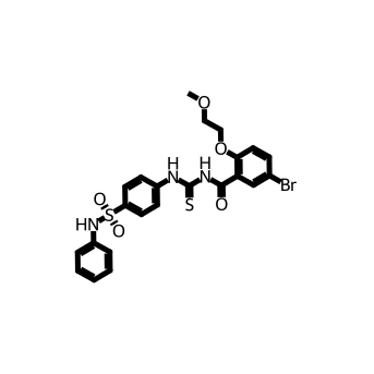 COCCOc1ccc(Br)cc1C(=O)NC(=S)Nc1ccc(S(=O)(=O)Nc2ccccc2)cc1